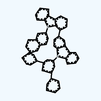 c1ccc(-c2cc(-c3ccccc3)cc(-n3c4ccccc4c4cc(-c5cccc6c7ccccc7n(-c7ccc8ccccc8c7)c56)ccc43)c2)cc1